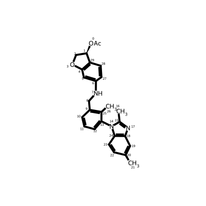 CC(=O)O[C@@H]1COc2cc(NCc3cccc(-n4c(C)nc5cc(C)ccc54)c3C)ccc21